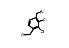 ClCc1ccc(CCl)c(Cl)c1Cl